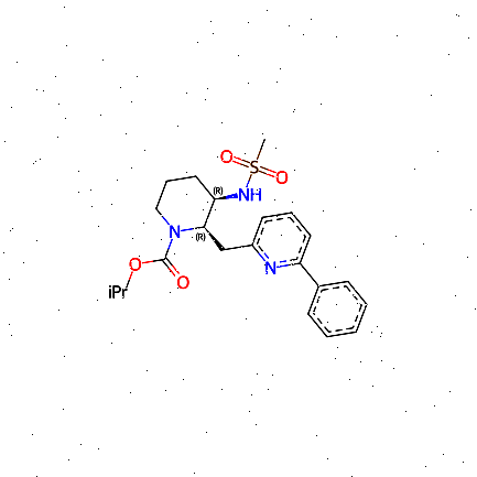 CC(C)OC(=O)N1CCC[C@@H](NS(C)(=O)=O)[C@H]1Cc1cccc(-c2ccccc2)n1